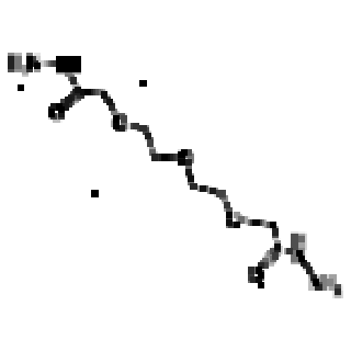 NNC(=O)COCCOCCOCC(=O)NN